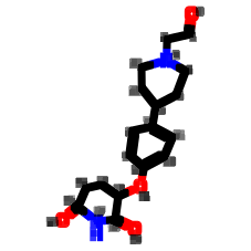 O=CCN1CCC(c2ccc(OC3CCC(=O)NC3=O)cc2)CC1